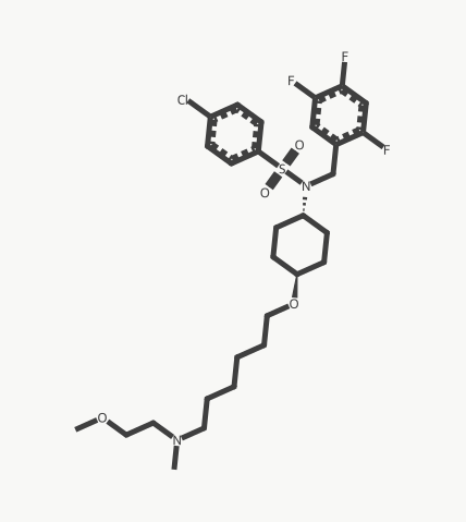 COCCN(C)CCCCCCO[C@H]1CC[C@H](N(Cc2cc(F)c(F)cc2F)S(=O)(=O)c2ccc(Cl)cc2)CC1